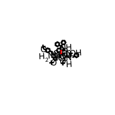 C[C@@H](OC(C)(C)C)[C@H](NC(=O)[C@H](CC(=O)NC(c1ccccc1)(c1ccccc1)c1ccccc1)NC(=O)[C@@H]1C[C@@H](OC(C)(C)C)CN1C(=O)[C@H](N)Cc1ccc(OC(C)(C)C)cc1)C(=O)N[C@@H](Cc1ccccc1)C(=O)O